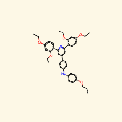 CCCOc1ccc(Nc2ccc(-c3cc(-c4ccc(OCC)cc4OCC)nc(-c4ccc(OCC)cc4OCC)c3)cc2)cc1